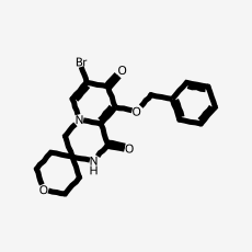 O=C1NC2(CCOCC2)Cn2cc(Br)c(=O)c(OCc3ccccc3)c21